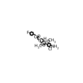 COc1cc(N)c(Cl)cc1C(=O)NC1CCN(CC(=O)OCc2ccc(F)cc2)CC1OC